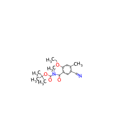 CCOc1cc(C)c(C#N)cc1C(=O)N(C)C(=O)OC(C)(C)C